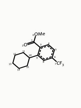 COC(=O)c1ccc(C(F)(F)F)cc1C1CCCCC1